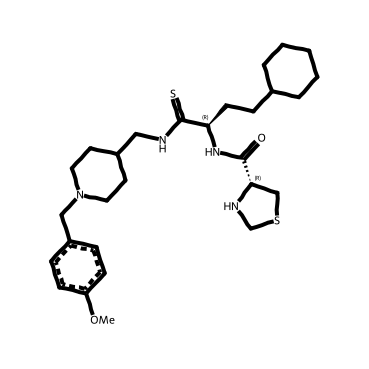 COc1ccc(CN2CCC(CNC(=S)[C@@H](CCC3CCCCC3)NC(=O)[C@@H]3CSCN3)CC2)cc1